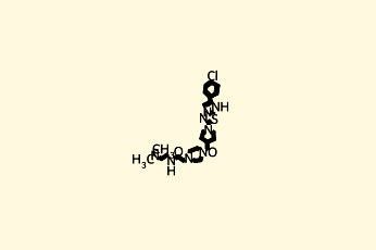 CN(C)CCNC(=O)CN1CCN(C(=O)C2CCN(C3=NN4C=C(c5ccc(Cl)cc5)NC4S3)CC2)CC1